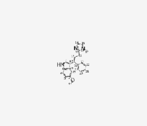 COc1ccc2[nH]cc(C(CCc3nccn3C)c3ccccc3)c2c1